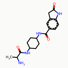 CC(N)C(=O)NC1CCC(NC(=O)c2ccc3c(c2)CC(=O)N3)CC1